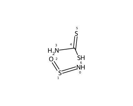 N=S=O.NC(=S)S